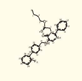 CCCCOC(=O)Cn1c(-c2ccccc2)ncc(NCc2ccc(-c3ccccc3F)cc2)c1=O